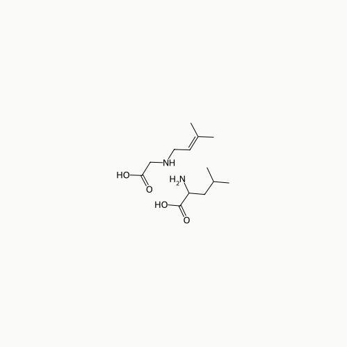 CC(C)=CCNCC(=O)O.CC(C)CC(N)C(=O)O